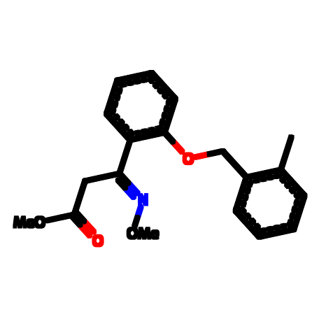 CON=C(CC(=O)OC)c1ccccc1OCc1ccccc1C